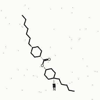 CCCCCCC[C@H]1CC[C@H](C(=O)O[C@H]2CC[C@](C#N)(CCCCC)CC2)CC1